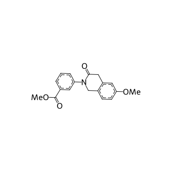 COC(=O)c1cccc(N2Cc3ccc(OC)cc3CC2=O)c1